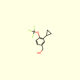 OCc1ccc(OC(F)(F)F)c(C2CC2)c1